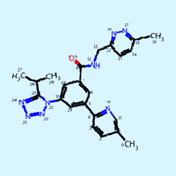 Cc1ccc(-c2cc(C(=O)NCc3ccc(C)nn3)cc(-n3nnnc3C(C)C)c2)nc1